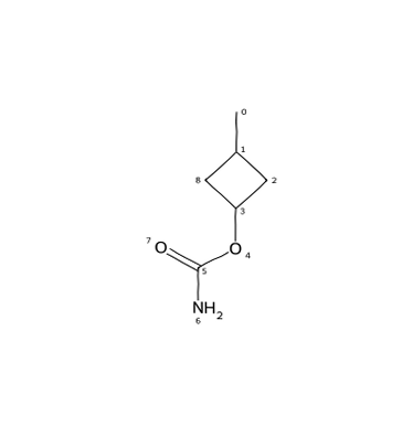 CC1CC(OC(N)=O)C1